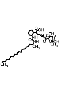 CCCCCCCCC=CCCCCCCC(C)NC(=O)NC1CCCCC1C(CCCNC(=O)C1OC(C)(C)OCC1(C)C)C(=O)O